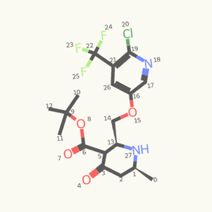 C[C@H]1CC(=O)C(C(=O)OC(C)(C)C)[C@@H](COc2cnc(Cl)c(C(F)(F)F)c2)N1